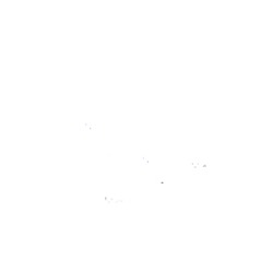 C=CCN(C(=O)N(C)C)[Si](C)(OC)OC